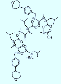 CN[C@@H](CC(C)C)C(=O)O[C@H](Cc1ccc(C2CCOCC2)cc1)C(=O)N(C)[C@@H](CC(C)C)C(=O)O[C@H](C)C(=O)N(C)[C@@H](CC(C)C)C(=O)O[C@H](Cc1ccc(C2CCOCC2)cc1)C(=O)N(C)[C@@H](CC(C)C)C(=O)O[C@H](C)C(=O)O